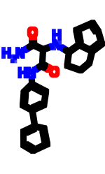 NC(=O)C(NC1CCCc2ccccc21)C(=O)Nc1ccc(-c2ccccc2)cc1